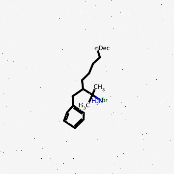 Br.CCCCCCCCCCCCCCC(Cc1ccccc1)C(C)(C)N